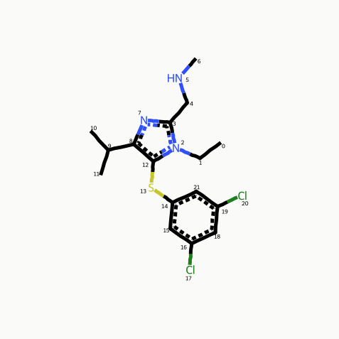 CCn1c(CNC)nc(C(C)C)c1Sc1cc(Cl)cc(Cl)c1